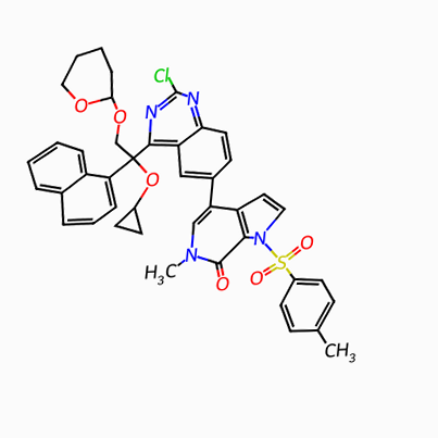 Cc1ccc(S(=O)(=O)n2ccc3c(-c4ccc5nc(Cl)nc(C(COC6CCCCO6)(OC6CC6)c6cccc7ccccc67)c5c4)cn(C)c(=O)c32)cc1